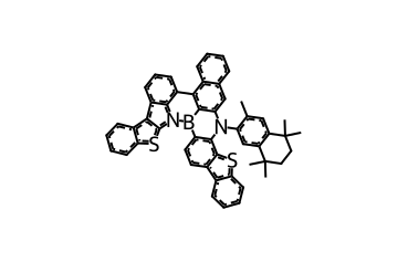 Cc1cc2c(cc1N1c3cc4ccccc4c4c3B(c3ccc5c(sc6ccccc65)c31)n1c3sc5ccccc5c3c3cccc-4c31)C(C)(C)CCC2(C)C